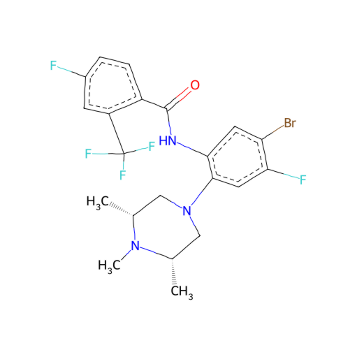 C[C@@H]1CN(c2cc(F)c(Br)cc2NC(=O)c2ccc(F)cc2C(F)(F)F)C[C@H](C)N1C